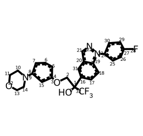 OC(COc1cccc(N2CCOCC2)c1)(c1ccc2c(cnn2-c2ccc(F)cc2)c1)C(F)(F)F